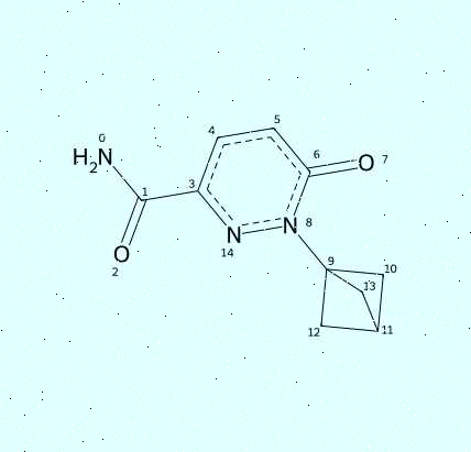 NC(=O)c1ccc(=O)n(C23CC(C2)C3)n1